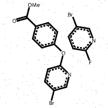 COC(=O)c1ccc(Oc2ccc(Br)cn2)cc1.Fc1ccc(Br)cn1